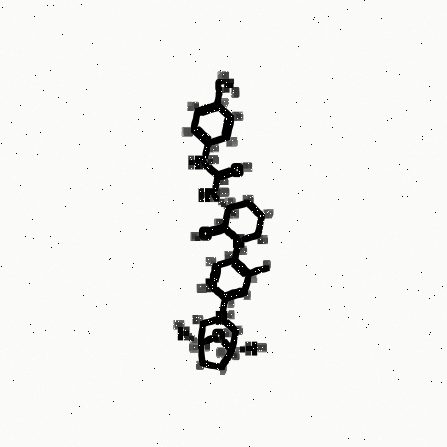 Cc1cc(N2C[C@H]3CC[C@@H](C2)O3)ncc1N1CCC[C@@H](NC(=O)Nc2ccc(C(F)(F)F)cc2)C1=O